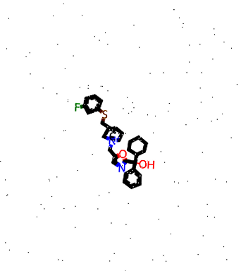 O[C@](c1ccccc1)(c1ncc(C[N+]23CCC(CC2)C(CSc2cccc(F)c2)C3)o1)C1CCCCC1